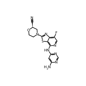 N#C[C@H]1CN(c2nc3c(F)cnc(Nc4cc(N)ncn4)c3s2)CCO1